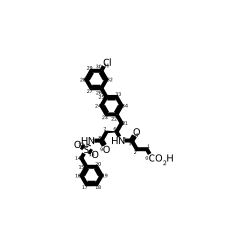 O=C(O)CCC(=O)N[C@@H](CC(=O)NS(=O)(=O)Cc1ccccc1)Cc1ccc(-c2cccc(Cl)c2)cc1